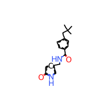 CC(C)(C)Cc1ccc(C(=O)NCc2ccc(=O)[nH]c2)cc1